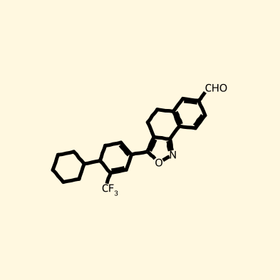 O=Cc1ccc2c(c1)CCc1c-2noc1C1=CCC(C2CCCCC2)C(C(F)(F)F)=C1